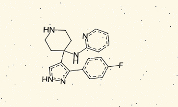 Fc1ccc(-c2n[nH]cc2C2(Nc3ccccn3)CCNCC2)cc1